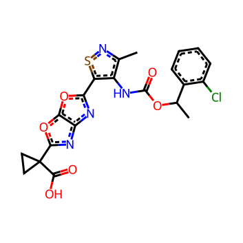 Cc1nsc(-c2nc3nc(C4(C(=O)O)CC4)oc3o2)c1NC(=O)OC(C)c1ccccc1Cl